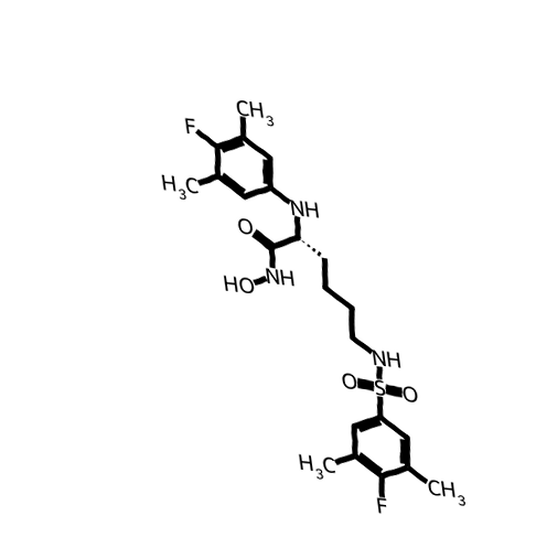 Cc1cc(N[C@H](CCCCNS(=O)(=O)c2cc(C)c(F)c(C)c2)C(=O)NO)cc(C)c1F